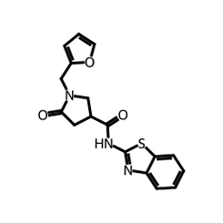 O=C(Nc1nc2ccccc2s1)C1CC(=O)N(Cc2ccco2)C1